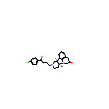 O=C1Cc2cccc3c2N(C1)[C@H]1CCN(CCCC(=O)c2ccc(F)cc2)C[C@@H]31